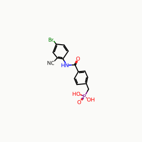 N#Cc1cc(Br)ccc1NC(=O)c1ccc(CP(=O)(O)O)cc1